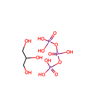 O=P(O)(O)OP(=O)(O)OP(=O)(O)O.OCC(O)CO